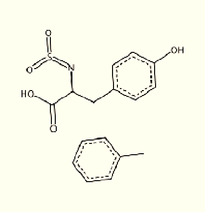 Cc1ccccc1.O=C(O)C(Cc1ccc(O)cc1)N=S(=O)=O